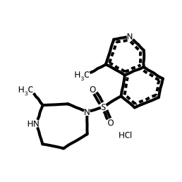 Cc1cncc2cccc(S(=O)(=O)N3CCCNC(C)C3)c12.Cl